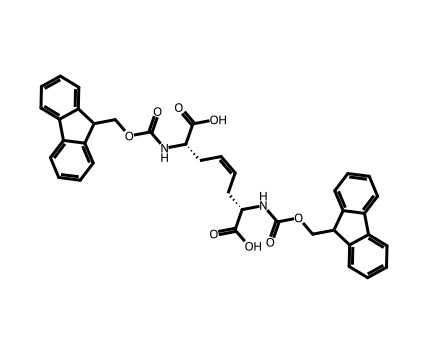 O=C(N[C@@H](C/C=C\C[C@H](NC(=O)OCC1c2ccccc2-c2ccccc21)C(=O)O)C(=O)O)OCC1c2ccccc2-c2ccccc21